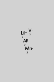 [Al].[LiH].[Mn].[V]